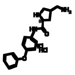 Cl.Cl.NCC1CN[C@H](C(=O)Nc2ccc(Oc3ccccc3)cc2)C1